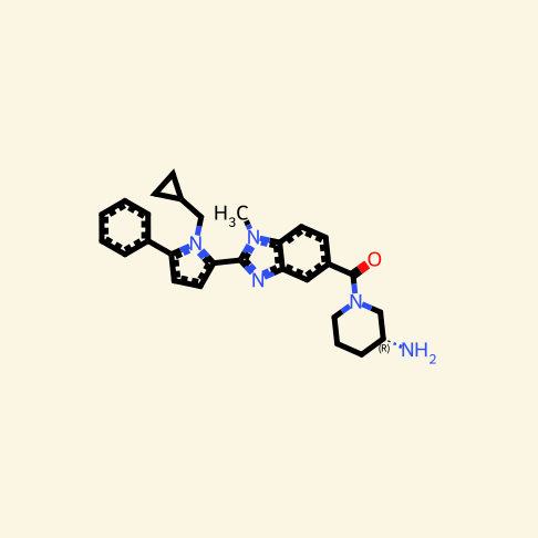 Cn1c(-c2ccc(-c3ccccc3)n2CC2CC2)nc2cc(C(=O)N3CCC[C@@H](N)C3)ccc21